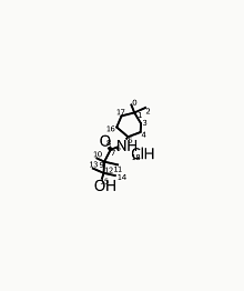 CC1(C)CCC(NC(=O)C(C)(C)C(C)(C)O)CC1.Cl